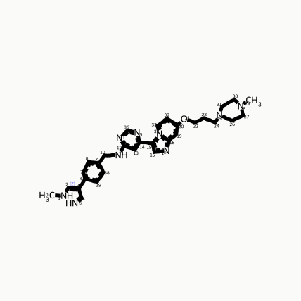 CN/C=C(\C=N)c1ccc(CNc2cc(-c3cnc4cc(OCCCN5CCN(C)CC5)ccn34)ncn2)cc1